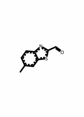 Cc1ccc2nc(C=O)sc2c1